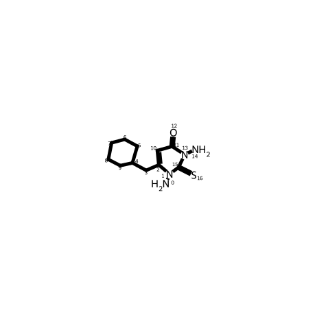 Nn1c(CC2CCCCC2)cc(=O)n(N)c1=S